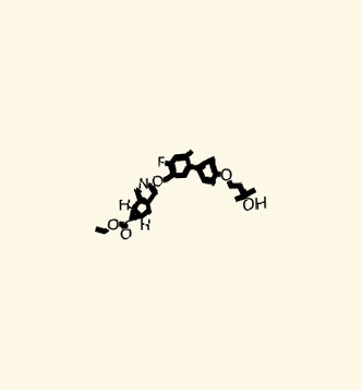 CCOC(=O)[C@H]1[C@@H]2Cc3cc(OCc4cc(-c5ccc(OCCC(C)(C)O)cc5)c(C)cc4F)ncc3[C@@H]21